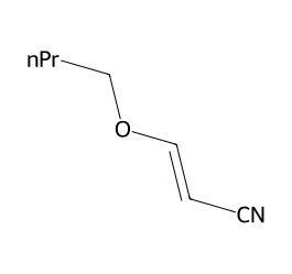 CCCCO/C=C/C#N